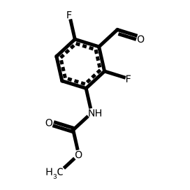 COC(=O)Nc1ccc(F)c(C=O)c1F